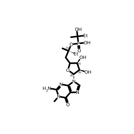 CCC(C)(O)P(=O)(O)O[C@@](C)(CC)CC1O[C@@H](n2cnc3c(=O)n(C)c(N)nc32)[C@H](O)[C@@H]1O